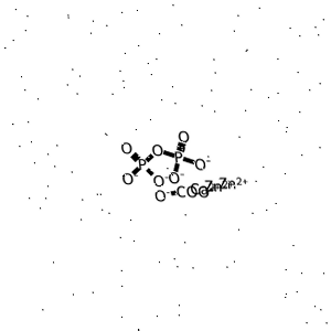 O=C([O-])[O-].O=P([O-])([O-])OP(=O)([O-])[O-].[Ca+2].[Zn+2].[Zn+2]